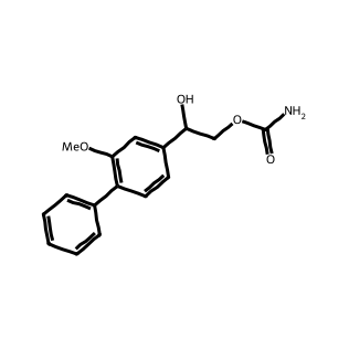 COc1cc(C(O)COC(N)=O)ccc1-c1ccccc1